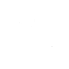 CCC(C=CCC(=O)O)(CC)C(=O)O